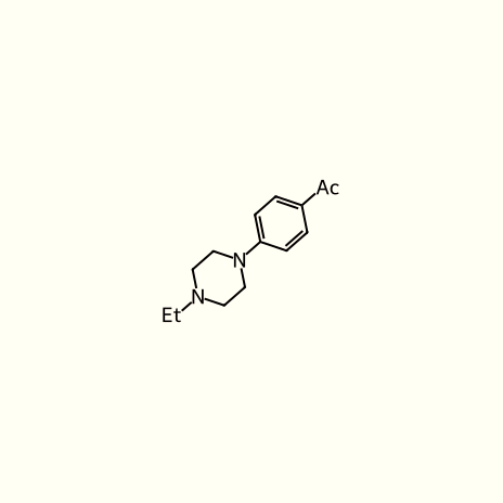 CCN1CCN(c2ccc(C(C)=O)cc2)CC1